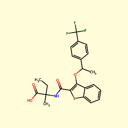 CCC(C)(NC(=O)c1sc2ccccc2c1OC(C)c1ccc(C(F)(F)F)cc1)C(=O)O